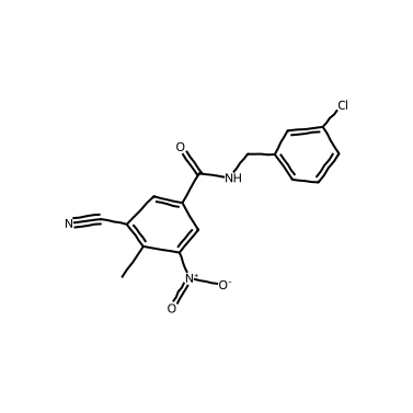 Cc1c(C#N)cc(C(=O)NCc2cccc(Cl)c2)cc1[N+](=O)[O-]